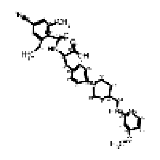 CCc1cc(C#N)cc(C)c1C(=O)NC(Cc1ccc(N2CCC(CNc3cc(OC)ccn3)CC2)cc1)C(=O)O